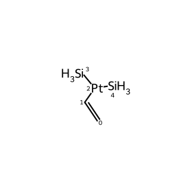 C=[CH][Pt]([SiH3])[SiH3]